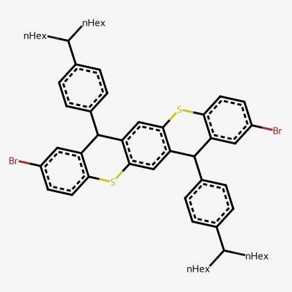 CCCCCCC(CCCCCC)c1ccc(C2c3cc(Br)ccc3Sc3cc4c(cc32)Sc2ccc(Br)cc2C4c2ccc(C(CCCCCC)CCCCCC)cc2)cc1